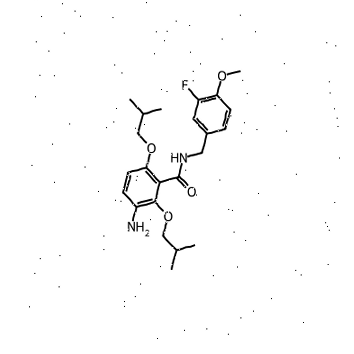 COc1ccc(CNC(=O)c2c(OCC(C)C)ccc(N)c2OCC(C)C)cc1F